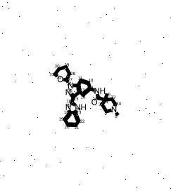 CN1CCC(C)(C(=O)Nc2ccc3c(c2)c(-c2nc4ccccc4[nH]2)nn3C2CCCCO2)CC1